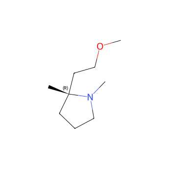 COCC[C@@]1(C)CCCN1C